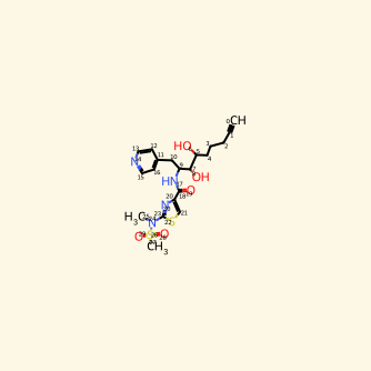 C#CCCCC(O)C(O)C(Cc1ccncc1)NC(=O)c1csc(N(C)S(C)(=O)=O)n1